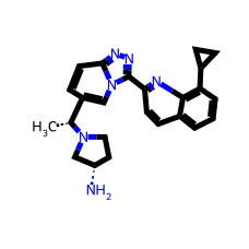 C[C@H](c1ccc2nnc(-c3ccc4cccc(C5CC5)c4n3)n2c1)N1CC[C@H](N)C1